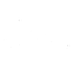 O=C(CO)Cc1ccc(CO)c(CO)c1